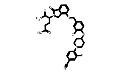 N#Cc1ccc(N2CCC(Sc3ccc(COc4cccc5c4CN(C(CCC(=O)O)C(N)=O)C5=O)cc3Cl)CC2)c(F)c1